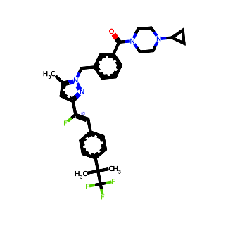 Cc1cc(/C(F)=C/c2ccc(C(C)(C)C(F)(F)F)cc2)nn1Cc1cccc(C(=O)N2CCN(C3CC3)CC2)c1